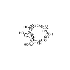 CC(=O)[C@@H]1CSSC[C@H](C)C(=O)N[C@@H](CC(=O)O)C(=O)N[C@@H](Cc2ccc(O)cc2)C(=O)N[C@@H](Cc2ccc(O)cc2)C(=O)NCC(=O)N[C@@H](C(C)O)C(=O)N1